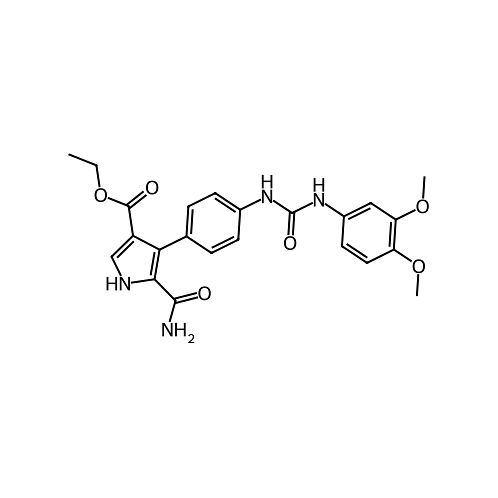 CCOC(=O)c1c[nH]c(C(N)=O)c1-c1ccc(NC(=O)Nc2ccc(OC)c(OC)c2)cc1